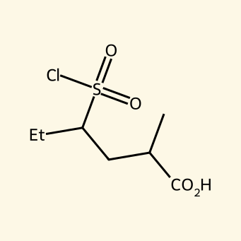 CCC(CC(C)C(=O)O)S(=O)(=O)Cl